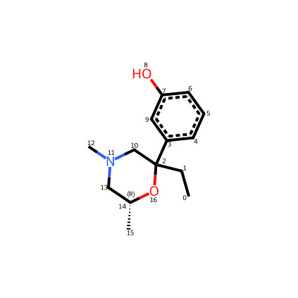 CCC1(c2cccc(O)c2)CN(C)C[C@@H](C)O1